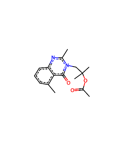 CC(=O)OC(C)(C)Cn1c(C)nc2cccc(C)c2c1=O